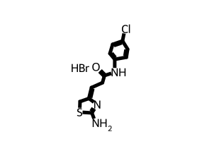 Br.NC1=NC(=CCC(=O)Nc2ccc(Cl)cc2)CS1